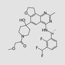 COCC(=O)N1CCC(O)(c2cc3c(N[C@H](C)c4cccc(C(F)F)c4F)nc(C)nc3c3c2OCC3)CC1